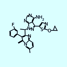 C=C1C(c2cccc(F)c2)=C(C(C)n2nc(-c3cnc(OC4CC4)s3)c3c(N)ncnc32)N=C2C=CC(C)=CN12